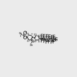 C=CC(=O)Oc1ccc(-c2ccc(C(F)(F)C(F)(F)C(F)(F)C(F)(F)C(F)(F)C(F)(F)F)cc2)c(CC)c1